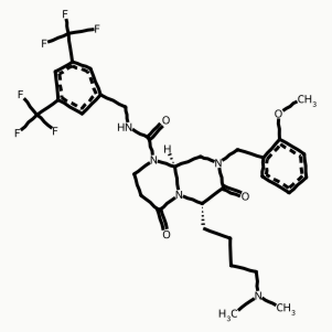 COc1ccccc1CN1C[C@@H]2N(C(=O)NCc3cc(C(F)(F)F)cc(C(F)(F)F)c3)CCC(=O)N2[C@@H](CCCCN(C)C)C1=O